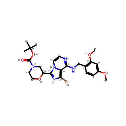 COc1ccc(CNc2nccn3c(C4CN(C(=O)OC(C)(C)C)CCO4)nc(Br)c23)c(OC)c1